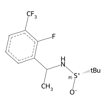 CC(N[S@@+]([O-])C(C)(C)C)c1cccc(C(F)(F)F)c1F